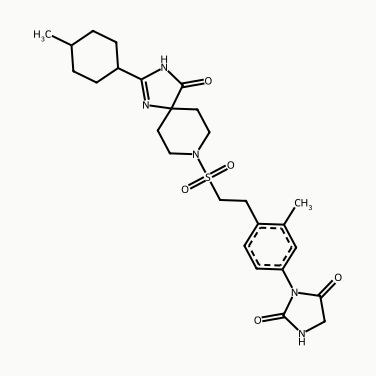 Cc1cc(N2C(=O)CNC2=O)ccc1CCS(=O)(=O)N1CCC2(CC1)N=C(C1CCC(C)CC1)NC2=O